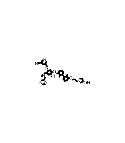 Cc1c(COc2cc(OCc3cncc(C#N)c3)c(CN(C)Cc3cnccn3)cc2Cl)cccc1-c1cccc(OCCCN2CCC(O)C2)c1C